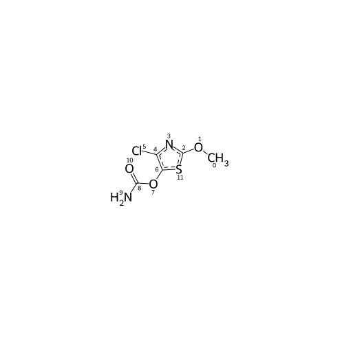 COc1nc(Cl)c(OC(N)=O)s1